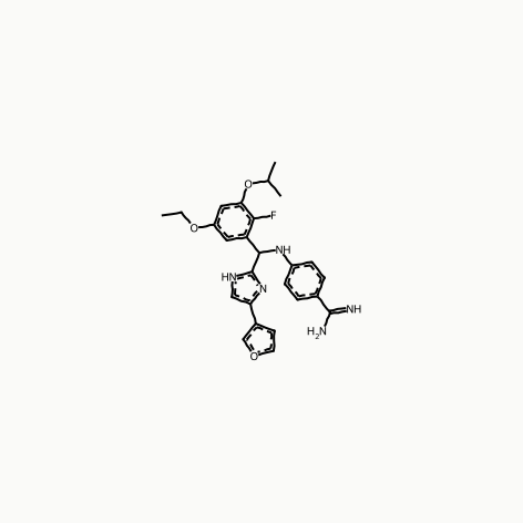 CCOc1cc(OC(C)C)c(F)c(C(Nc2ccc(C(=N)N)cc2)c2nc(-c3ccoc3)c[nH]2)c1